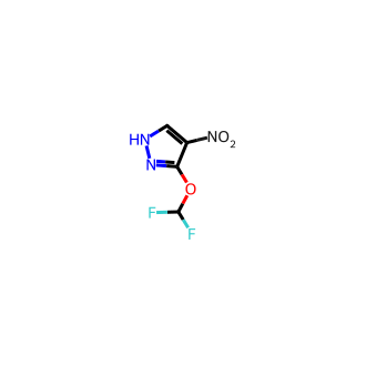 O=[N+]([O-])c1c[nH]nc1OC(F)F